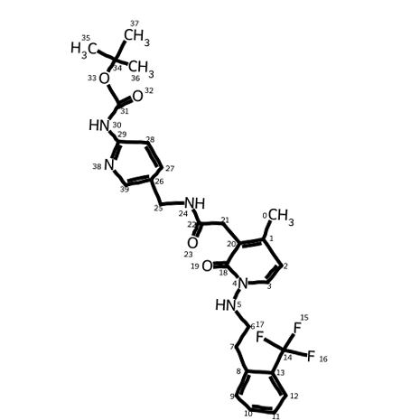 Cc1ccn(NCCc2ccccc2C(F)(F)F)c(=O)c1CC(=O)NCc1ccc(NC(=O)OC(C)(C)C)nc1